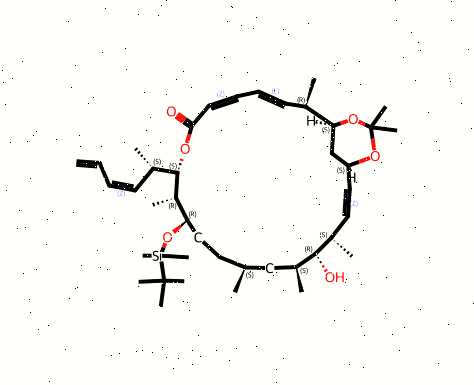 C=C/C=C\[C@H](C)[C@@H]1OC(=O)/C=C\C=C\[C@@H](C)[C@@H]2C[C@@H](/C=C\[C@H](C)[C@H](O)[C@@H](C)C[C@@H](C)CC[C@@H](O[Si](C)(C)C(C)(C)C)[C@@H]1C)OC(C)(C)O2